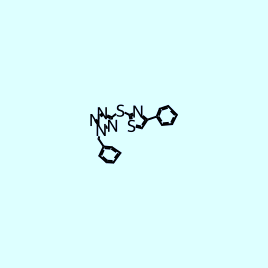 c1ccc(Cn2nnc(Sc3nc(-c4ccccc4)cs3)n2)cc1